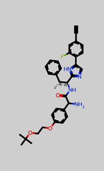 C#Cc1ccc(-c2cnc([C@@H](NC(=O)C(N)c3ccc(OCCOC(C)(C)C)cc3)[C@H](C)c3ccccc3)[nH]2)c(F)c1